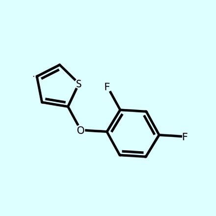 Fc1ccc(Oc2c[c]cs2)c(F)c1